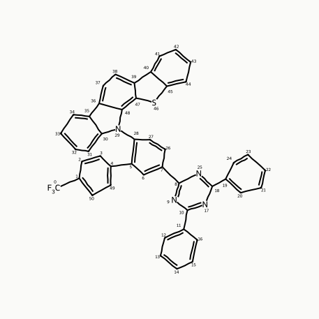 FC(F)(F)c1ccc(-c2cc(-c3nc(-c4ccccc4)nc(-c4ccccc4)n3)ccc2-n2c3ccccc3c3ccc4c5ccccc5sc4c32)cc1